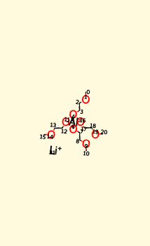 COCC[O][Al-]([O]CCOC)([O]CCOC)[O]CCOC.[Li+]